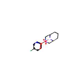 NC(=O)N1CC2CCCC(C1)N2S(=O)(=O)c1ccc(Cl)cc1